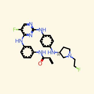 C=CC(=O)Nc1cccc(Nc2nc(Nc3ccc(N[C@H]4CCN(CCF)C4)cc3)ncc2F)c1